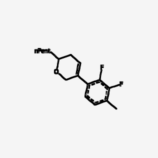 CCCCCC1CC=C(c2ccc(C)c(F)c2F)CO1